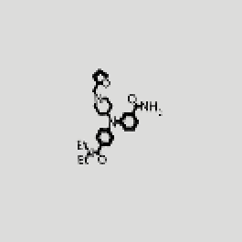 CCN(CC)C(=O)c1ccc(N(c2cccc(C(N)=O)c2)C2CCN(Cc3ccco3)CC2)cc1